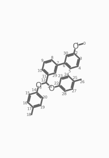 COc1cccc(-c2cccc(C(Oc3ccc(C)cc3)Oc3ccc(C)cc3)c2)c1